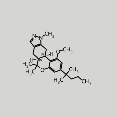 CCCC(C)(C)c1cc(OC)c2c(c1)OC(C)(C)[C@@H]1Cc3cnn(C)c3C[C@@H]21